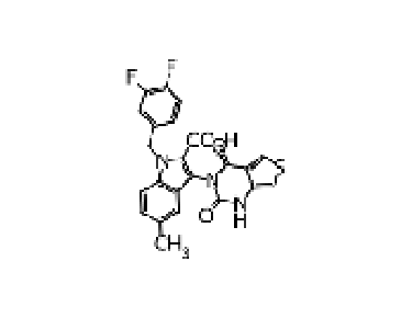 Cc1ccc2c(c1)c(-n1c(=O)[nH]c3cscc3c1=O)c(C(=O)O)n2Cc1ccc(F)c(F)c1